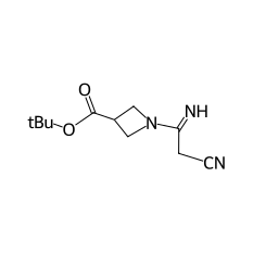 CC(C)(C)OC(=O)C1CN(C(=N)CC#N)C1